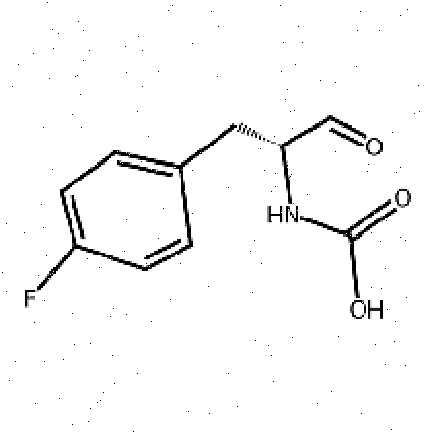 O=C[C@@H](Cc1ccc(F)cc1)NC(=O)O